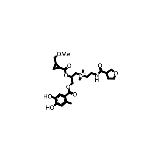 COCC1CC1C(=O)OC(COC(=O)c1cc(O)c(O)cc1C)C[N+](C)(C)CCNC(=O)C1CCOC1